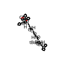 CC(C)(C)OC(=O)[C@H](CCC(=O)NCCOCCOCC(=O)NCCCC[C@H](NC(=O)OCc1ccccc1)C(=O)OC(c1ccccc1)(c1ccccc1)c1ccccc1Cl)NC(=O)OCC1c2ccccc2-c2ccccc21